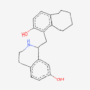 Oc1ccc2c(c1)C(Cc1c(O)ccc3c1CCCC3)NCC2